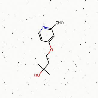 CC(C)(O)CCOc1ccnc(C=O)c1